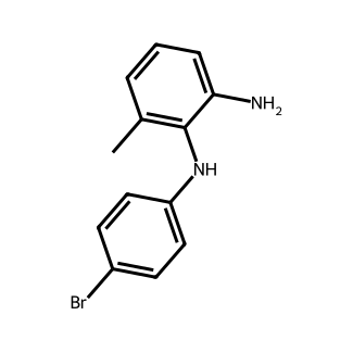 Cc1cccc(N)c1Nc1ccc(Br)cc1